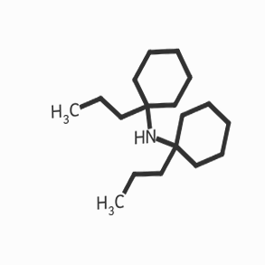 CCCC1(NC2(CCC)CCCCC2)CCCCC1